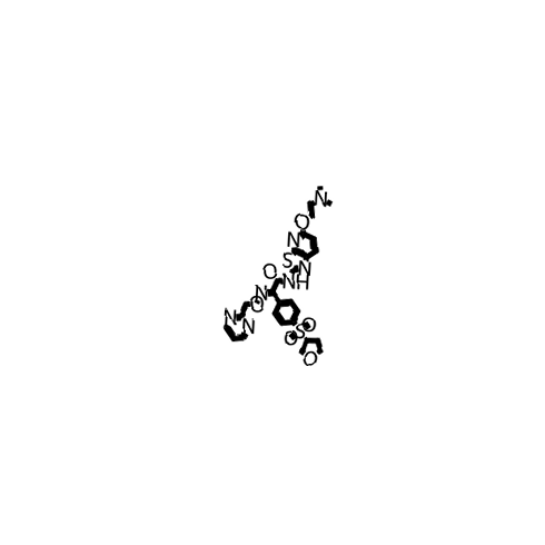 CN(C)CCOc1ccc2nc(NC(=O)/C(=N/OCc3ncccn3)c3ccc(S(=O)(=O)[C@H]4CCOC4)cc3)sc2n1